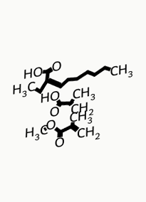 C=C(C)C(=O)O.C=C(C)C(=O)OC.CCCCCC/C=C(/CC)C(=O)O